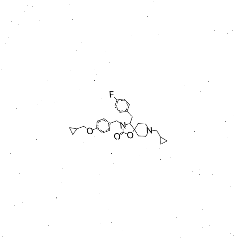 O=C1OC2(CCN(CC3CC3)CC2)C(Cc2ccc(F)cc2)N1Cc1ccc(OCC2CC2)cc1